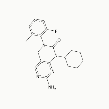 Cc1cccc(F)c1N1Cc2cnc(N)nc2N(C2CCCCC2)C1=O